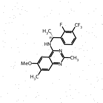 COc1cc2c(N[C@H](C)c3cccc(C(F)(F)F)c3F)nc(C)nc2cc1C